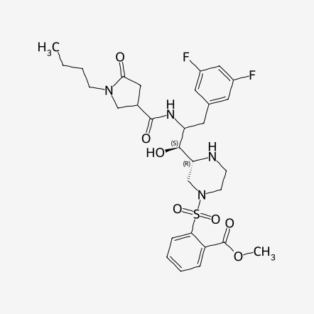 CCCCN1CC(C(=O)NC(Cc2cc(F)cc(F)c2)[C@H](O)[C@H]2CN(S(=O)(=O)c3ccccc3C(=O)OC)CCN2)CC1=O